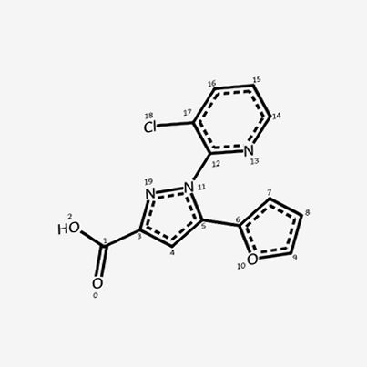 O=C(O)c1cc(-c2ccco2)n(-c2ncccc2Cl)n1